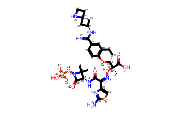 CC1(C)[C@H](NC(=O)/C(=N\O[C@](C)(C(=O)O)[C@H]2CCc3cc(C(=N)N[C@H]4C[C@]5(CCN5)C4)ccc3O2)c2csc(N)n2)C(=O)N1OS(=O)(=O)O